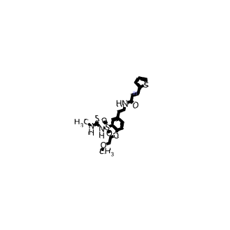 CNC(=S)NS(=O)(=O)c1cc(CCNC(=O)/C=C/C2CC=CS2)ccc1OCCOC